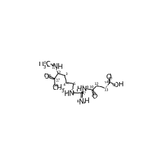 CNC(CCCNC(=N)NC(=O)CCC(=O)O)C(C)=O